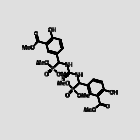 COC(=O)c1cc(C(NC(=S)NC(c2ccc(O)c(C(=O)OC)c2)P(=O)(OC)OC)P(=O)(OC)OC)ccc1O